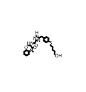 CN1C(=O)[C@@H](NC(=O)c2n[nH]c(Cc3ccc(SCCCCCO)cc3)n2)COc2ccccc21